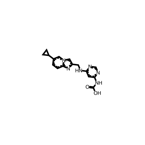 O=C(O)Nc1cc(NCc2cn3cc(C4CC4)ccc3n2)ncn1